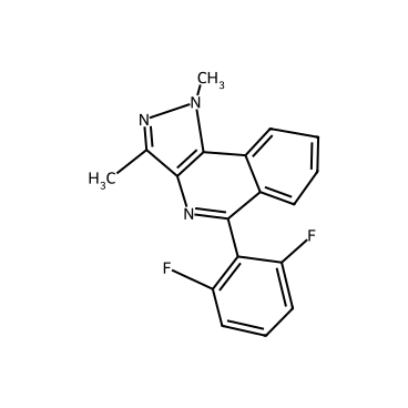 Cc1nn(C)c2c1nc(-c1c(F)cccc1F)c1ccccc12